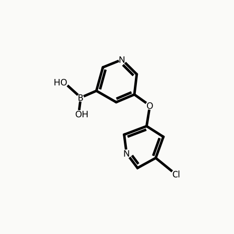 OB(O)c1cncc(Oc2cncc(Cl)c2)c1